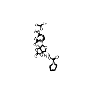 CC(C)C(=O)ONc1ccn([C@@H]2O[C@H](COC(=O)N3CCCC3)[C@H]3OC(=O)O[C@H]32)c(=O)n1